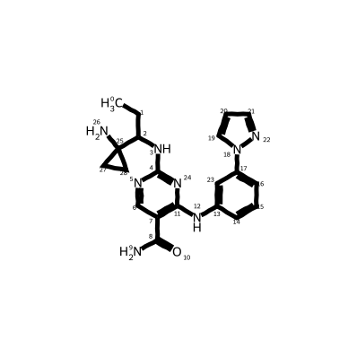 CCC(Nc1ncc(C(N)=O)c(Nc2cccc(-n3cccn3)c2)n1)C1(N)CC1